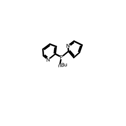 CCCCP(c1ccccn1)c1ccccn1